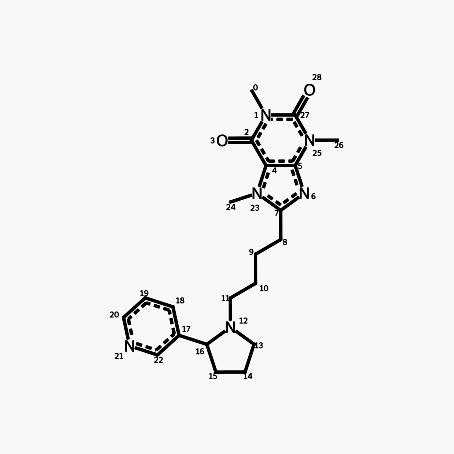 Cn1c(=O)c2c(nc(CCCCN3CCCC3c3cccnc3)n2C)n(C)c1=O